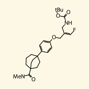 CNC(=O)C12CCCC(c3ccc(OCC(=CF)CNC(=O)OC(C)(C)C)cc3)(CC1)CC2